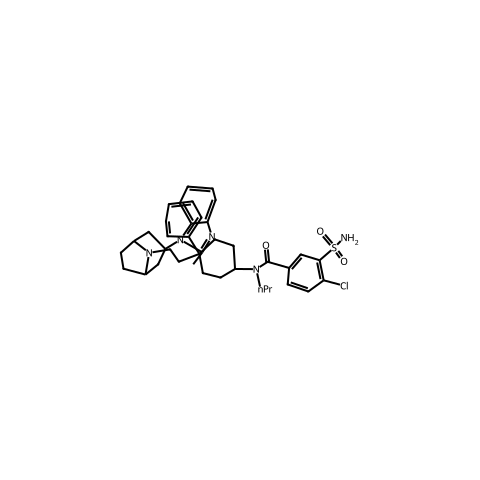 CCCN(C(=O)c1ccc(Cl)c(S(N)(=O)=O)c1)C1CCC(CCN2C3CCC2CC(n2c(C)nc4ccccc42)C3)(c2ccccc2)CC1